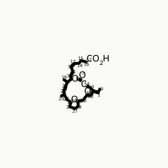 C/C=C1\CC2CC(=O)OC(/C=C/C=C\CCCC(=O)O)C(C)/C=C/C(C)CC3CCCC(CC(C1)O2)O3